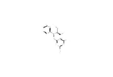 Cc1c(CO)c(-c2ccccc2)nc2nc(N)nc(N)c12